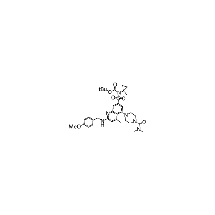 COc1ccc(CNc2cc(C)c3c(N4CCN(C(=O)N(C)C)CC4)cc(S(=O)(=O)N(C(=O)OC(C)(C)C)C4(C)CC4)cc3n2)cc1